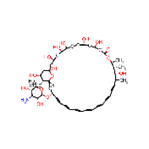 C[C@@H]1[C@H](O)[C@@H](C)/C=C/C=C/C=C/C=C/C=C/C=C/C=C/[C@H](O[C@@H]2O[C@H](C)[C@@H](O)[C@H](N)[C@H]2O)C[C@@H]2OC(O)(C[C@@H](O)C[C@@H](O)C(O)CC[C@@H](O)C[C@@H](O)CC(=O)O[C@H]1C)C[C@H](O)[C@H]2C(=O)O